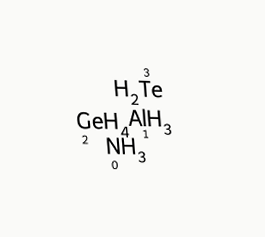 N.[AlH3].[GeH4].[TeH2]